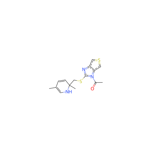 CC(=O)n1c(SCC2(C)C=CC(C)=CN2)nc2cscc21